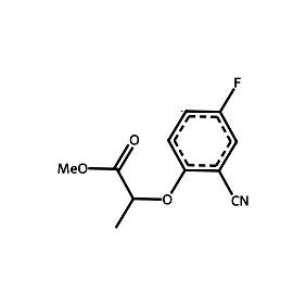 COC(=O)C(C)Oc1c[c]c(F)cc1C#N